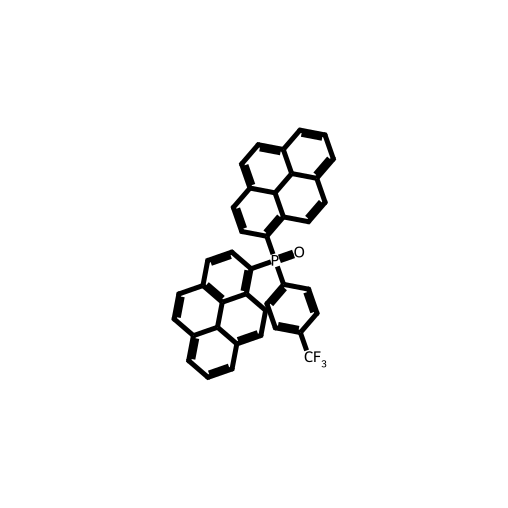 O=P(C1=C2C=CC3=CC=CC4=CC=C(C=C1)C2C34)(c1ccc(C(F)(F)F)cc1)c1ccc2c3c1CC=C1C=CC=C(C=C2)C13